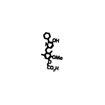 COc1c(OCC(=O)O)cc(C)c(Cc2ccc(O)c(C3CCCCC3)n2)c1C